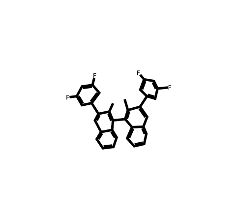 Cc1c(-c2cc(F)cc(F)c2)cc2ccccc2c1-c1c(C)c(-c2cc(F)cc(F)c2)cc2ccccc12